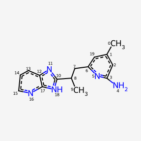 Cc1cc(N)nc(CC(C)c2nc3cccnc3[nH]2)c1